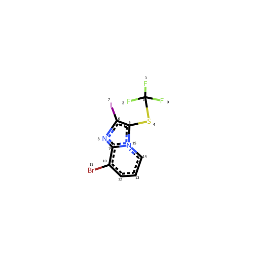 FC(F)(F)Sc1c(I)nc2c(Br)cccn12